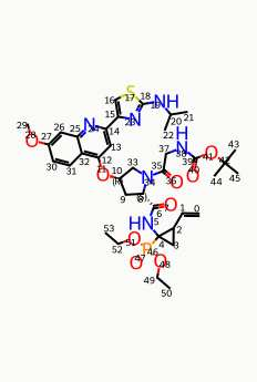 C=CC1CC1(NC(=O)[C@@H]1C[C@@H](Oc2cc(-c3csc(NC(C)C)n3)nc3cc(OC)ccc23)CN1C(=O)CNC(=O)OC(C)(C)C)P(=O)(OCC)OCC